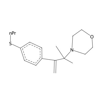 C=C(c1ccc(SCCC)cc1)C(C)(C)N1CCOCC1